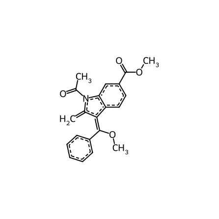 C=c1/c(=C(/OC)c2ccccc2)c2ccc(C(=O)OC)cc2n1C(C)=O